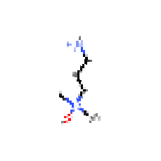 CCC[N+](C)([O-])CCCN